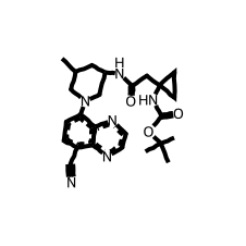 CC1CC(NC(=O)CC2(NC(=O)OC(C)(C)C)CC2)CN(c2ccc(C#N)c3nccnc23)C1